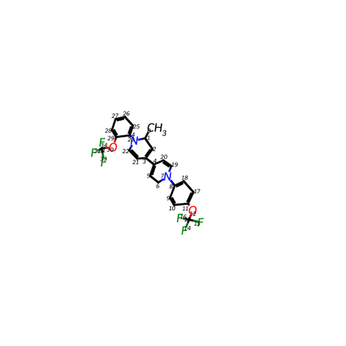 CC1C=C(C2=CCN(c3ccc(OC(F)(F)F)cc3)C=C2)C=CN1c1ccccc1OC(F)(F)F